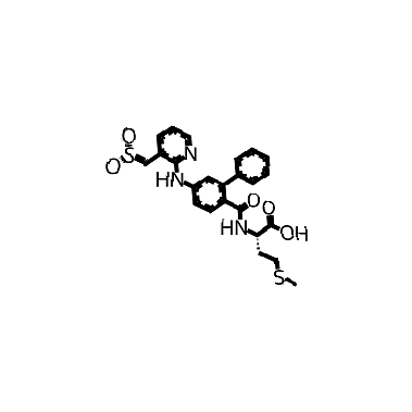 CSCC[C@H](NC(=O)c1ccc(Nc2ncccc2C=S(=O)=O)cc1-c1ccccc1)C(=O)O